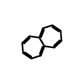 C1=CC=C2C=CC=CC=C2C=C1